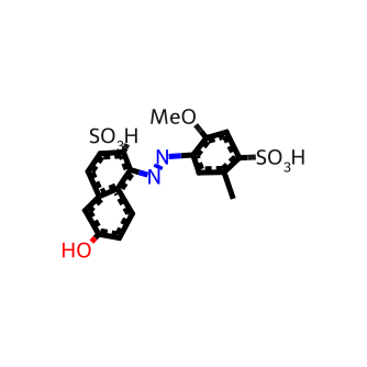 COc1cc(S(=O)(=O)O)c(C)cc1N=Nc1c(S(=O)(=O)O)ccc2cc(O)ccc12